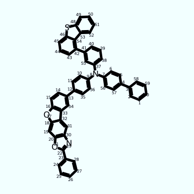 c1ccc(-c2ccc(N(c3ccc(-c4ccc5oc6cc7oc(-c8ccccc8)nc7cc6c5c4)cc3)c3cccc(-c4cccc5sc6ccccc6c45)c3)cc2)cc1